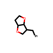 CC(C)CC1COC2CCOC12